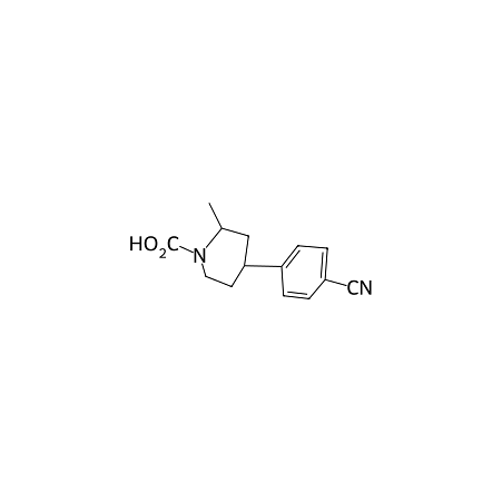 CC1CC(c2ccc(C#N)cc2)CCN1C(=O)O